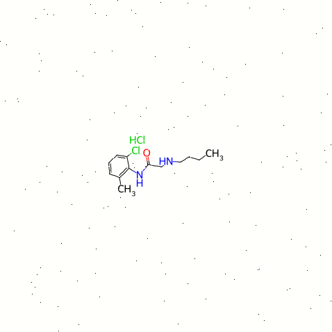 CCCCNCC(=O)Nc1c(C)cccc1Cl.Cl